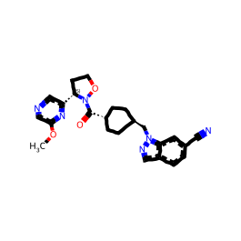 COc1cncc([C@@H]2CCON2C(=O)[C@H]2CC[C@H](Cn3ncc4ccc(C#N)cc43)CC2)n1